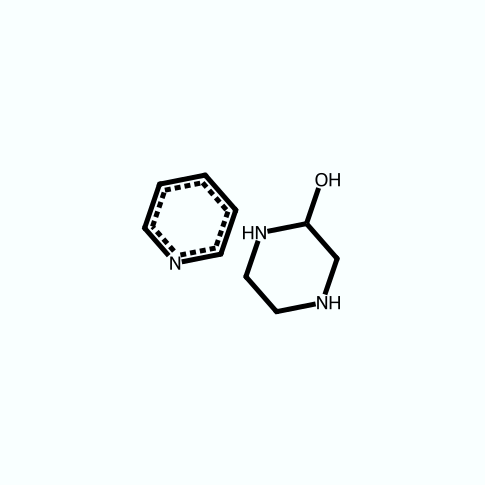 OC1CNCCN1.c1ccncc1